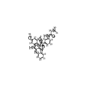 COc1cc(Nc2nc3ccccc3nc2NS(=O)(=O)c2cccc(NC(=O)CN(C)C)c2)cc(OC)c1